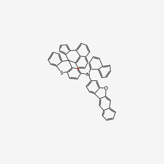 c1ccc2c(c1)Sc1ccc(N(c3ccc4c(c3)oc3cc5ccccc5cc34)c3cccc4ccccc34)cc1C21c2ccccc2-c2cccc3cccc1c23